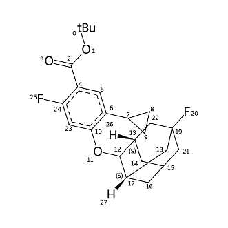 CC(C)(C)OC(=O)c1cc(C2CC2)c(OC2[C@H]3CC4C[C@H]2CC(F)(C4)C3)cc1F